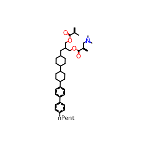 C=C(C)C(=O)OCC(COC(=O)C(=C)CN(C)C)CC1CCC(C2CCC(c3ccc(-c4ccc(CCCCC)cc4)cc3)CC2)CC1